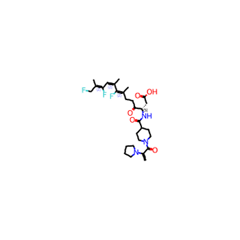 C=C(C(=O)N1CCC(C(=O)N[C@@H](CC(=O)O)C(=O)CC/C(C)=C(F)/C(C)=C\C(F)=C(/C)CF)CC1)N1CCCC1